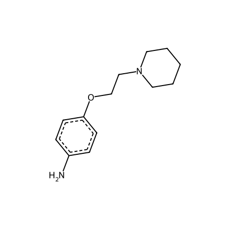 Nc1ccc(OCCN2CCCCC2)cc1